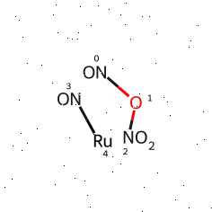 O=NO[N+](=O)[O-].O=[N][Ru]